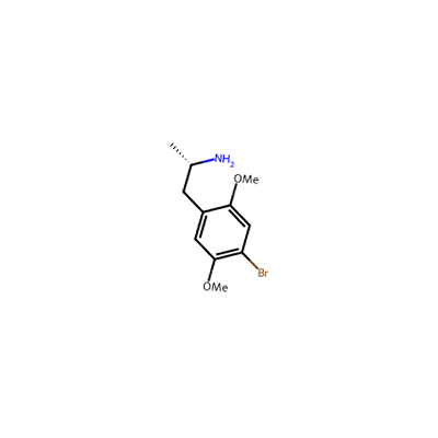 COc1cc(C[C@H](C)N)c(OC)cc1Br